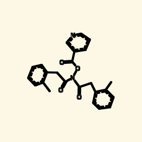 Cc1ccccc1CC(=O)N(OC(=O)c1cccnc1)C(=O)Cc1ccccc1C